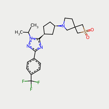 CC(C)n1nc(-c2ccc(C(F)(F)F)cc2)nc1[C@H]1CC[C@@H](N2CCC3(C2)CS(=O)(=O)C3)C1